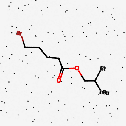 CCCCC(CC)COC(=O)CCCCBr